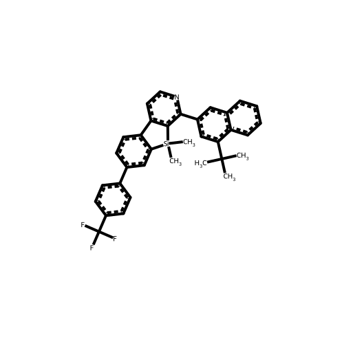 CC(C)(C)c1cc(-c2nccc3c2[Si](C)(C)c2cc(-c4ccc(C(F)(F)F)cc4)ccc2-3)cc2ccccc12